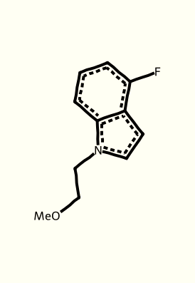 COCCn1ccc2c(F)cccc21